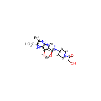 CCc1nc2c(nc1C(=O)O)c(OC(C)C)c(C(=O)NC1CCN(C(=O)CO)CC1)n2C